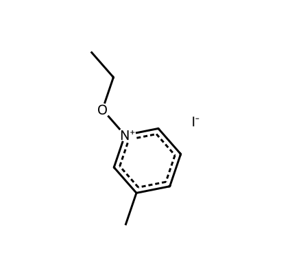 CCO[n+]1cccc(C)c1.[I-]